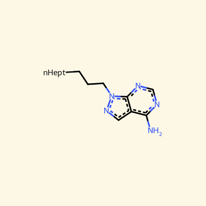 CCCCCCCCCCn1ncc2c(N)ncnc21